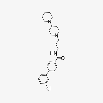 O=C(NCCCN1CCC(N2CCCCC2)CC1)c1ccc(-c2cccc(Cl)c2)cc1